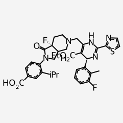 CCOC(=O)C1=C(CN2CC[C@]3(F)C(=O)N(c4ccc(C(=O)O)cc4C(C)C)C[C@@H]3C2)NC(c2nccs2)=N[C@H]1c1cccc(F)c1C